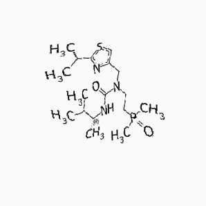 CC(C)c1nc(CN(CCP(C)(C)=O)C(=O)N[C@H](C)C(C)C)cs1